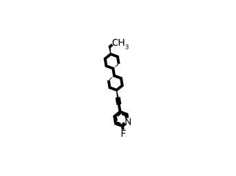 CC[C@H]1CC[C@H]([C@H]2CC[C@H](C#Cc3ccc(F)nc3)CC2)CC1